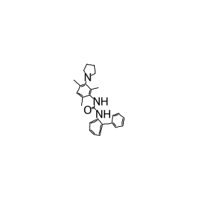 Cc1cc(C)c(N2CCCC2)c(C)c1NC(=O)Nc1ccccc1-c1ccccc1